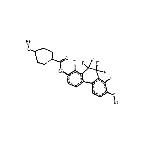 CCOc1ccc2c(c1F)C(F)(F)C(F)(F)c1c-2ccc(OC(=O)C2CCC(OCC)CC2)c1F